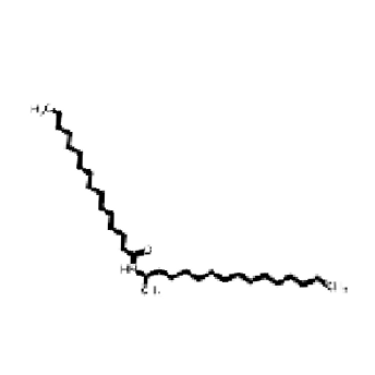 CCCCCCCCCCCCCCCC(=O)NC(C)CCCCCCCCCCCCCC